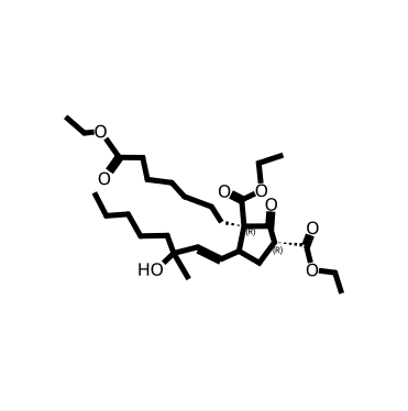 CCCCCC(C)(O)C=CC1C[C@@H](C(=O)OCC)C(=O)[C@]1(CCCCCCC(=O)OCC)C(=O)OCC